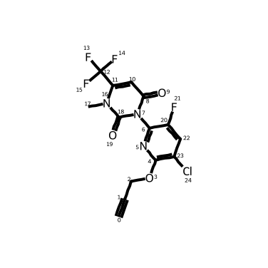 C#CCOc1nc(-n2c(=O)cc(C(F)(F)F)n(C)c2=O)c(F)cc1Cl